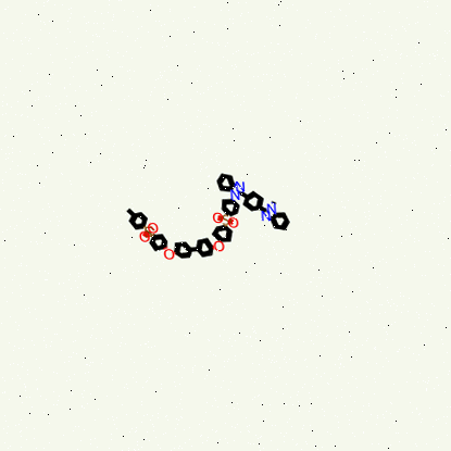 Cc1ccc(S(=O)(=O)c2ccc(Oc3ccc(-c4ccc(Oc5ccc(S(=O)(=O)c6ccc(-n7c(-c8ccc(-c9nc%10ccccc%10n9C)cc8)nc8ccccc87)cc6)cc5)cc4)cc3)cc2)cc1